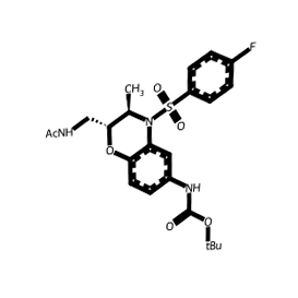 CC(=O)NC[C@H]1Oc2ccc(NC(=O)OC(C)(C)C)cc2N(S(=O)(=O)c2ccc(F)cc2)[C@@H]1C